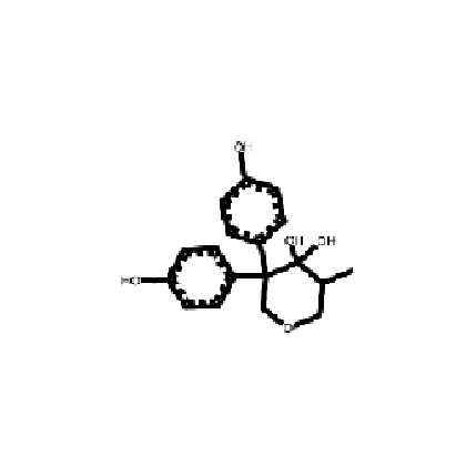 CC1COCC(c2ccc(O)cc2)(c2ccc(O)cc2)C1(O)O